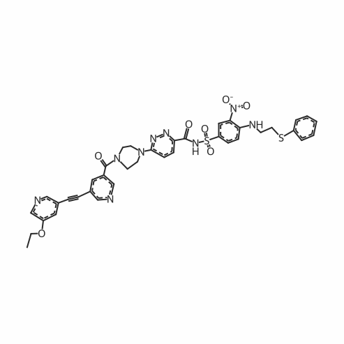 CCOc1cncc(C#Cc2cncc(C(=O)N3CCN(c4ccc(C(=O)NS(=O)(=O)c5ccc(NCCSc6ccccc6)c([N+](=O)[O-])c5)nn4)CC3)c2)c1